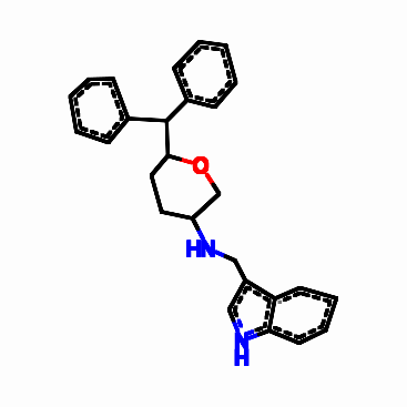 c1ccc(C(c2ccccc2)C2CCC(NCc3c[nH]c4ccccc34)CO2)cc1